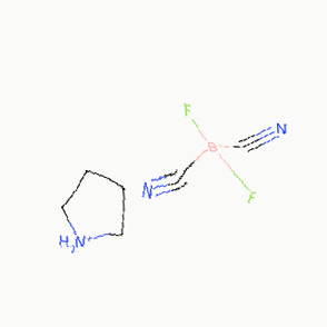 C1CC[NH2+]C1.N#C[B-](F)(F)C#N